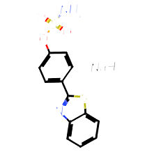 NS(=O)(=O)Oc1ccc(-c2nc3ccccc3s2)cc1.[NaH]